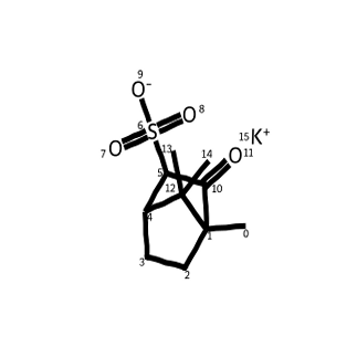 CC12CCC(C(S(=O)(=O)[O-])C1=O)C2(C)C.[K+]